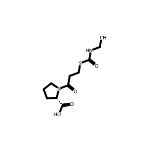 CCNC(=O)SCCC(=O)N1CCC[C@H]1C(=O)O